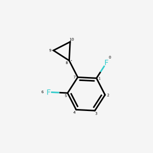 Fc1cccc(F)c1[C]1CC1